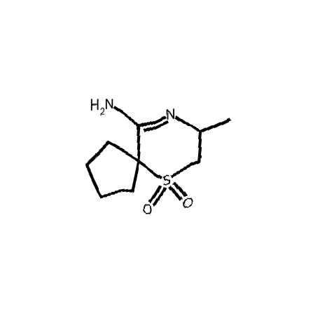 CC1CS(=O)(=O)C2(CCCC2)C(N)=N1